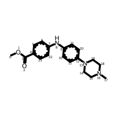 COC(=O)c1ccc(Nc2ccc(N3CCN(C)CC3)cc2)cc1